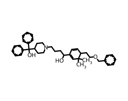 CC1(C)C=C(C(O)CCCN2CCC(C(O)(c3ccccc3)c3ccccc3)CC2)C=CC1CCOCc1ccccc1